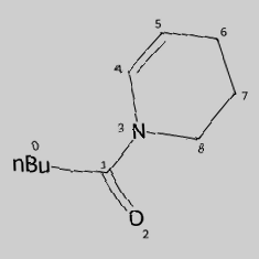 CCCCC(=O)N1C=CCCC1